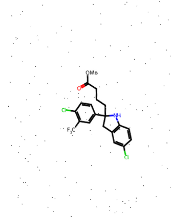 COC(=O)CCCC1(c2ccc(Cl)c(C(F)(F)F)c2)Cc2cc(Cl)ccc2N1